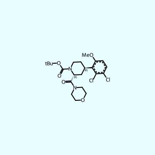 COc1ccc(Cl)c(Cl)c1[C@@H]1CCN(C(=O)OC(C)(C)C)[C@@H](C(=O)N2CCOCC2)C1